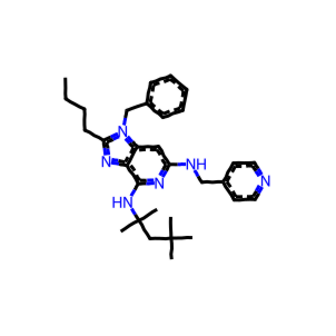 CCCCc1nc2c(NC(C)(C)CC(C)(C)C)nc(NCc3ccncc3)cc2n1Cc1ccccc1